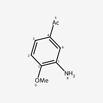 COc1ccc(C(C)=O)cc1N